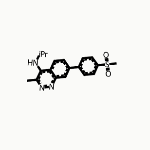 Cc1nnc2cc(-c3ccc(S(C)(=O)=O)cc3)ccc2c1NC(C)C